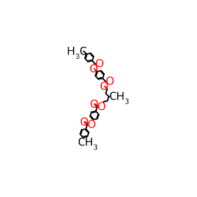 Cc1ccc(C(=O)Oc2ccc(C(=O)OCCC(C)CCOC(=O)c3ccc(OC(=O)c4ccc(C)cc4)cc3)cc2)cc1